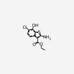 CCOC(=O)c1c(N)sc2c(O)c(Cl)ccc12